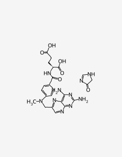 CN(Cc1cnc2nc(N)nc(N)c2n1)c1ccc(C(=O)N[C@@H](CCC(=O)O)C(=O)O)cc1.O=C1CNC=N1